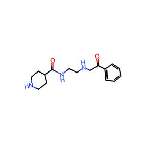 O=C(CNCCNC(=O)C1CCNCC1)c1ccccc1